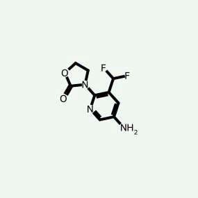 Nc1cnc(N2CCOC2=O)c(C(F)F)c1